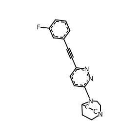 Fc1cccc(C#Cc2ccc(N3CCN4CCC3CC4)nn2)c1